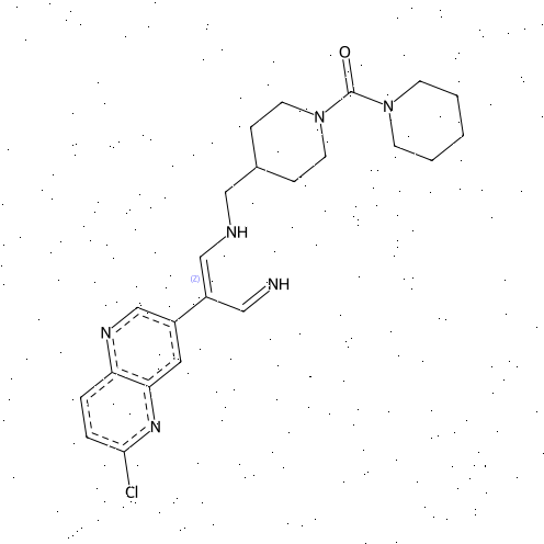 N=C/C(=C\NCC1CCN(C(=O)N2CCCCC2)CC1)c1cnc2ccc(Cl)nc2c1